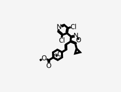 COC(=O)C12CCC(C=Cc3c(-c4c(Cl)cncc4Cl)noc3C3CC3)(CC1)CC2